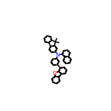 CC1(C)c2ccccc2-c2ccc(N(c3cccc(-c4cccc5c4oc4ccccc45)c3)c3cccc4ccccc34)cc21